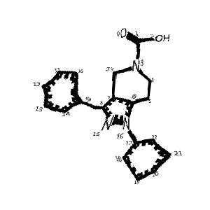 O=C(O)N1CCc2c(c(-c3ccccc3)nn2-c2ccccc2)C1